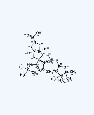 CC(=O)N(C)[C@@]1(C(=O)NC(C)(C)C)C[C@H]2CN(C(=O)O)C[C@H]2[C@@H]1CCCB1OC(C)(C)C(C)(C)O1